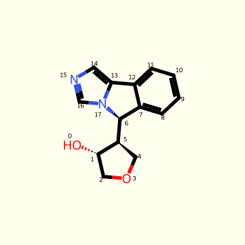 O[C@H]1COC[C@@H]1[C@@H]1c2ccccc2-c2cncn21